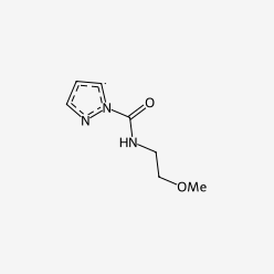 COCCNC(=O)n1[c]ccn1